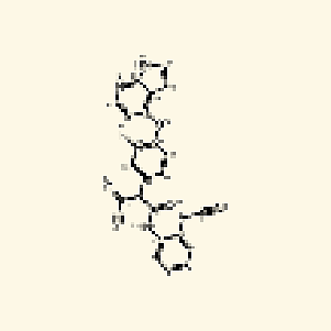 N#CCc1ccccc1NC(=O)C(C(N)=O)c1ccc(Oc2ccnc3[nH]ccc23)c(F)c1